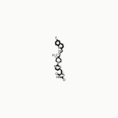 CC1(CNCc2ccc3cc(F)ccc3n2)CCN(c2nccc(/C=C3/SC(=O)NC3=O)n2)CC1